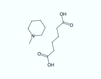 CN1CCCCC1.O=C(O)CCCCC(=O)O